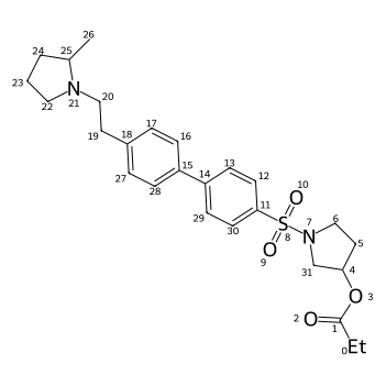 CCC(=O)OC1CCN(S(=O)(=O)c2ccc(-c3ccc(CCN4CCCC4C)cc3)cc2)C1